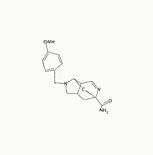 COc1ccc(CN2CC3CC4(C(N)=O)CC2C3C=N4)cc1